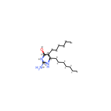 CCCCCCCc1[nH]c(N)nc(=O)c1CCCCCC